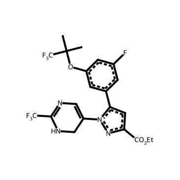 CCOC(=O)c1cc(-c2cc(F)cc(OC(C)(C)C(F)(F)F)c2)n(C2=CN=C(C(F)(F)F)NC2)n1